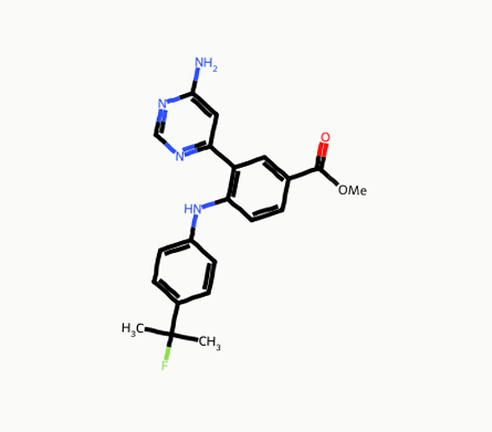 COC(=O)c1ccc(Nc2ccc(C(C)(C)F)cc2)c(-c2cc(N)ncn2)c1